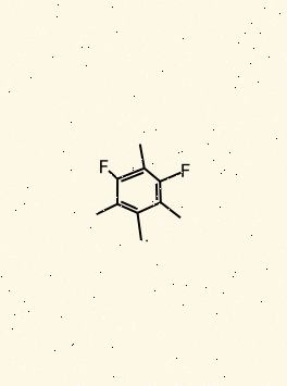 [CH2]c1c(C)c(F)c(C)c(F)c1C